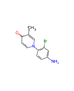 Cc1cn(-c2ccc(N)cc2Br)ccc1=O